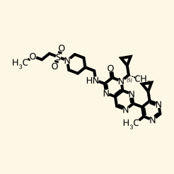 COCCS(=O)(=O)N1CCC(CNc2nc3cnc(-c4c(C)ncnc4C4CC4)nc3n([C@@H](C)C3CC3)c2=O)CC1